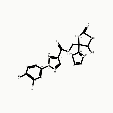 O=C1NC(O)C(CNC(=O)c2cnn(-c3ccc(Cl)c(F)c3)n2)(c2nccs2)N1